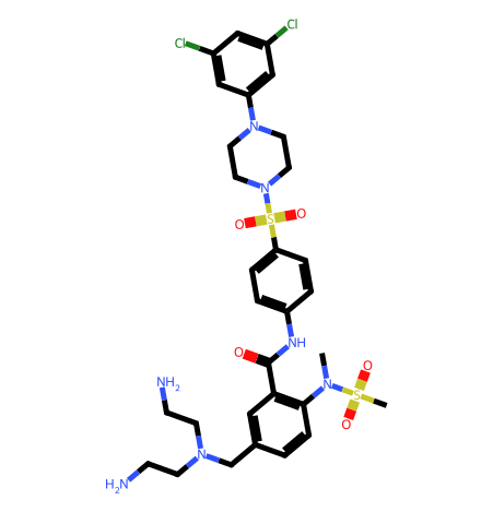 CN(c1ccc(CN(CCN)CCN)cc1C(=O)Nc1ccc(S(=O)(=O)N2CCN(c3cc(Cl)cc(Cl)c3)CC2)cc1)S(C)(=O)=O